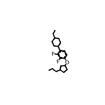 CCCC1CCC(Oc2ccc(C3CC[C](CC)CC3)c(F)c2F)C1